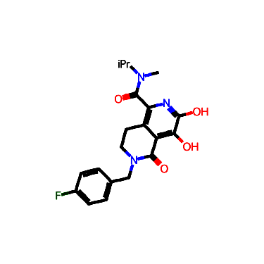 CC(C)N(C)C(=O)c1nc(O)c(O)c2c1CCN(Cc1ccc(F)cc1)C2=O